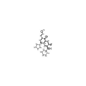 COC=Cc1cn(C2CCCC2)c2cc(NC3CCCCC3)c(F)cc2c1=O